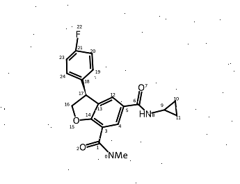 CNC(=O)c1cc(C(=O)NC2CC2)cc2c1OC[C@H]2c1ccc(F)cc1